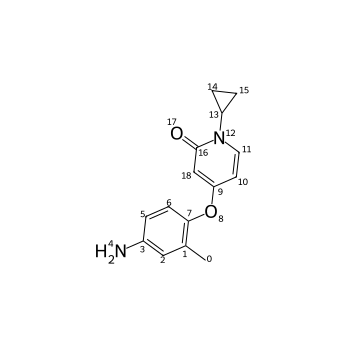 Cc1cc(N)ccc1Oc1ccn(C2CC2)c(=O)c1